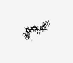 Cc1cc(Nc2cccc(-c3cccc(OC(=O)C(F)(F)F)c3)c2)nc(N)n1